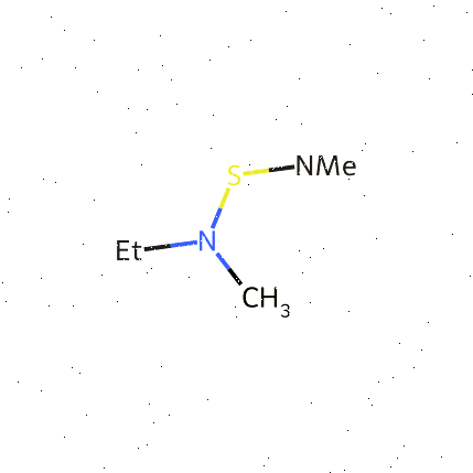 CCN(C)SNC